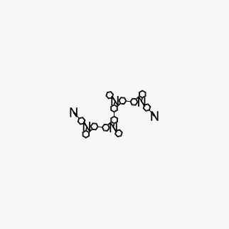 N#Cc1ccc(-n2c3ccccc3c3cc(-c4ccc5c(c4)c4cc(-c6ccc7c(c6)c6cc(-c8ccc9c(c8)c8ccccc8n9-c8ccc(C#N)cc8)ccc6n7-c6ccccc6)ccc4n5-c4ccccc4)ccc32)cc1